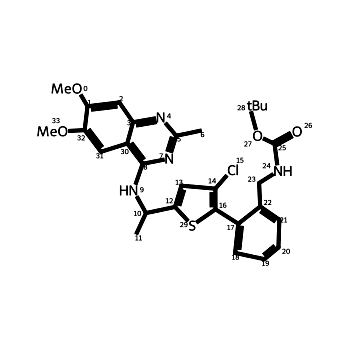 COc1cc2nc(C)nc(NC(C)c3cc(Cl)c(-c4ccccc4CNC(=O)OC(C)(C)C)s3)c2cc1OC